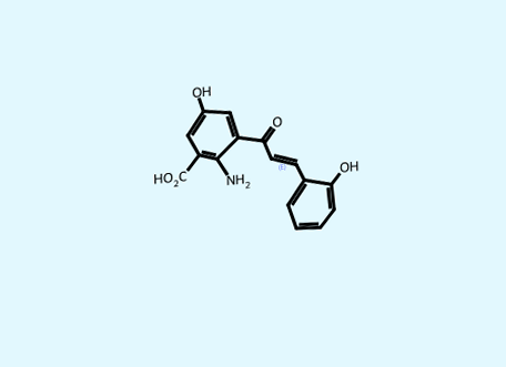 Nc1c(C(=O)O)cc(O)cc1C(=O)/C=C/c1ccccc1O